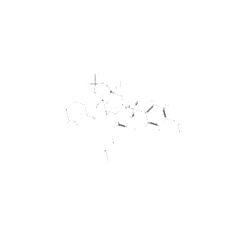 CCCCOC(=O)[C@H]1[C@H](OC2CCCCO2)[C@@H]2OC(C)(C)O[C@H]2CN1S(=O)(=O)c1ccc(OC)cc1